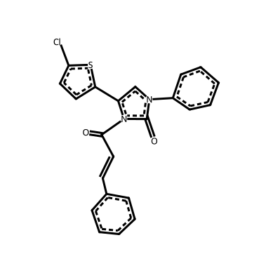 O=C(C=Cc1ccccc1)n1c(-c2ccc(Cl)s2)cn(-c2ccccc2)c1=O